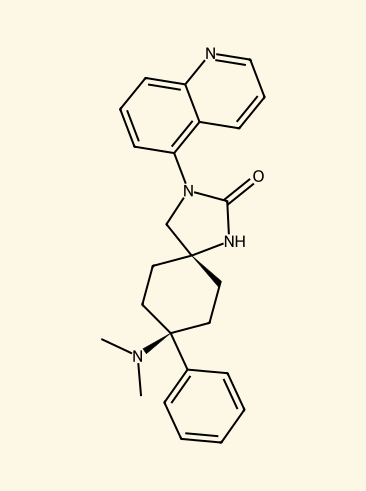 CN(C)[C@]1(c2ccccc2)CC[C@@]2(CC1)CN(c1cccc3ncccc13)C(=O)N2